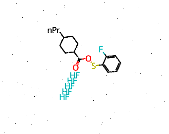 CCCC1CCC(C(=O)OSc2ccccc2F)CC1.F.F.F.F.F